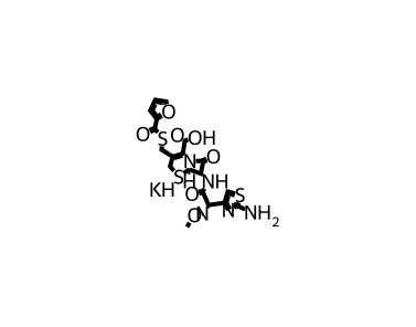 CO/N=C(\C(=O)N[C@@H]1C(=O)N2C(C(=O)O)=C(CSC(=O)c3ccco3)CS[C@H]12)c1csc(N)n1.[KH]